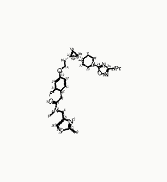 Cc1nc(CN(C)C(=O)CC2C=CC(OCC[C@@H]3C[C@@H]3C3CCN(c4nc(C(C)C)no4)CC3)=CC2F)cs1